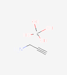 C#CCN.[OH][Ti]([OH])([OH])[OH]